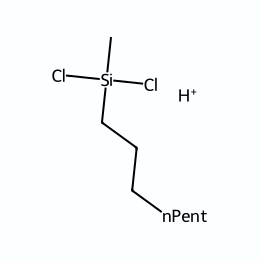 CCCCCCCC[Si](C)(Cl)Cl.[H+]